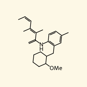 C=C(Nc1ccc(C)cc1CC1CCCCC1OC)/C(C)=C(C)/C=C\C